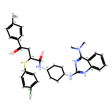 CN(C)c1nc(N[C@H]2CC[C@@H](NC(=O)C(CC(=O)c3ccc(C(C)(C)C)cc3)Sc3ccc(Cl)cc3)CC2)nc2ccccc12